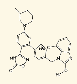 CCOc1nc2cccc(C(=O)O)c2n1Cc1ccc(-c2cc(N3CCCC(C)C3)ccc2-c2noc(=O)[nH]2)cc1